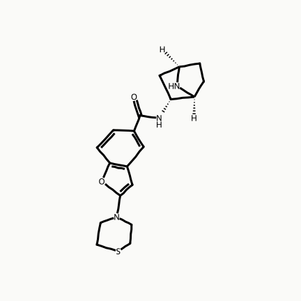 O=C(N[C@@H]1C[C@H]2CC[C@@H]1N2)c1ccc2oc(N3CCSCC3)cc2c1